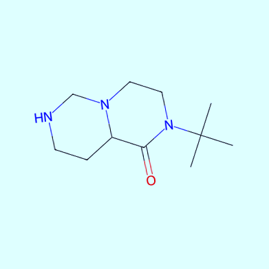 CC(C)(C)N1CCN2CNCCC2C1=O